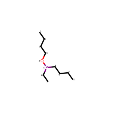 CCCCOP(CC)CCCC